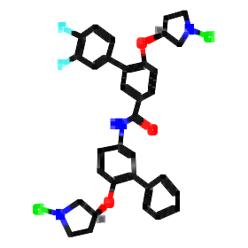 O=C(Nc1ccc(O[C@H]2CCN(Cl)C2)c(-c2ccccc2)c1)c1ccc(O[C@H]2CCN(Cl)C2)c(-c2ccc(F)c(F)c2)c1